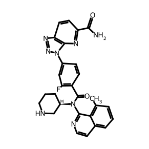 Cc1cccc2ccnc(N(C(=O)c3ccc(-n4nnc5ccc(C(N)=O)nc54)cc3F)[C@@H]3CCCNC3)c12